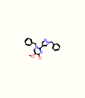 COc1cn(Cc2ccccc2)c(-c2cnn(Cc3ccccc3)c2)nc1=O